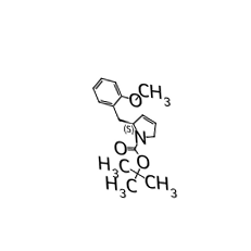 COc1ccccc1C[C@H]1C=CCN1C(=O)OC(C)(C)C